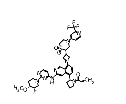 C=CC(=O)N1CCC[C@H]1c1ccc(N2CC([C@@H]3CN(c4ccnc(C(F)(F)F)c4)CCS3(=O)=O)C2)c2cnc(Nc3ccnc(N4CC[C@@H](OC)[C@@H](F)C4)n3)cc12